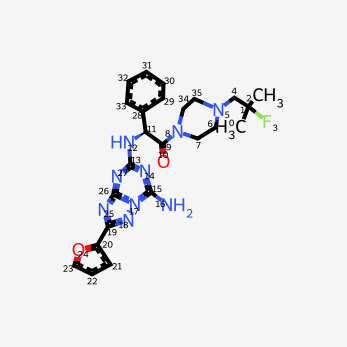 CC(C)(F)CN1CCN(C(=O)[C@@H](Nc2nc(N)n3nc(-c4ccco4)nc3n2)c2ccccc2)CC1